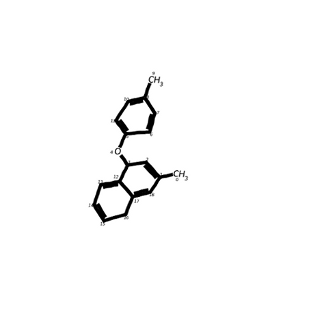 CC1=CC(Oc2ccc(C)cc2)C2=CC=CCC2=C1